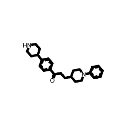 O=C(CCC1CCN(c2ccccc2)CC1)c1ccc(C2CCNCC2)cc1